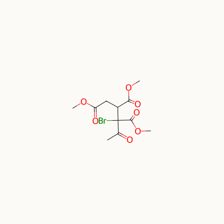 COC(=O)CC(C(=O)OC)C(Br)(C(C)=O)C(=O)OC